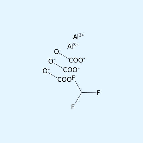 FC(F)F.O=C([O-])[O-].O=C([O-])[O-].O=C([O-])[O-].[Al+3].[Al+3]